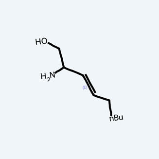 CCCCC/C=C/C(N)CO